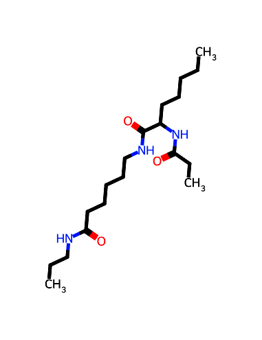 CCCCCC(NC(=O)CC)C(=O)NCCCCCC(=O)NCCC